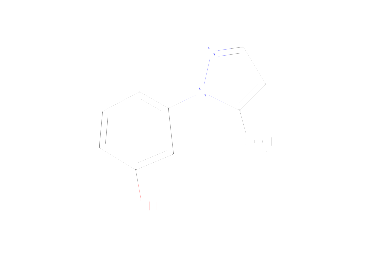 CCOC(=O)c1ccnn1-c1cccc(O)c1